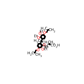 C=C(C)C(=O)O.C=C(C)COc1ccc(C(C)(C)c2ccc(OCC(=C)C)c(OCC)c2OCC)c(OCC)c1OCC